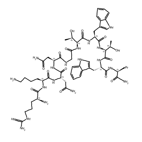 CC(C)[C@H](NC(=O)[C@H](Cc1c[nH]c2ccccc12)NC(=O)[C@@H](NC(=O)[C@H](Cc1c[nH]c2ccccc12)NC(=O)[C@@H](NC(=O)CNC(=O)[C@H](CC(N)=O)NC(=O)[C@H](CC(N)=O)NC(=O)[C@H](CCCCN)NC(=O)[C@@H](N)CCCNC(=N)N)[C@@H](C)O)[C@@H](C)O)C(N)=O